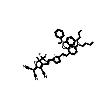 CCCCN(CCCC)c1ccc(/C=C/c2ccc(/C=C/C3=C(C#N)C(=C(C#N)C#N)OC3(C)C(F)(F)F)s2)c(O[Si](C)(c2ccccc2)c2ccccc2)c1